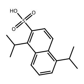 CC(C)c1cccc2c(C(C)C)c(S(=O)(=O)O)ccc12